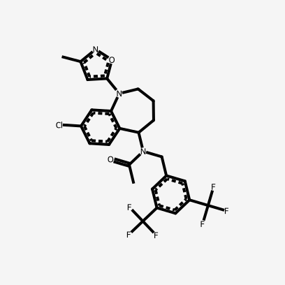 CC(=O)N(Cc1cc(C(F)(F)F)cc(C(F)(F)F)c1)C1CCCN(c2cc(C)no2)c2cc(Cl)ccc21